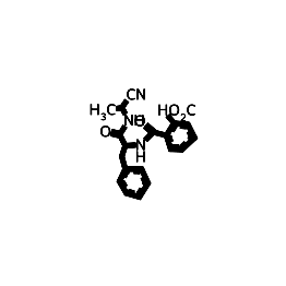 CC(C#N)NC(=O)C(Cc1ccccc1)NC(=O)c1ccccc1C(=O)O